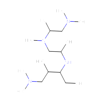 CCC(NC(C)CN(C)C(C)CN(C)C)C(C)CN(C)C